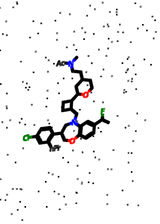 CCCc1cc(Cl)ccc1C1COc2ccc(C(C)F)cc2N(CC2CCC2C2CC(CCN(C)C(C)=O)CCO2)C1